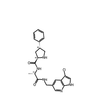 C[C@H](NC(=O)[C@H]1C[C@H](c2ccccc2)CN1)C(=O)NCc1cnc2[nH]cc(Cl)c2c1